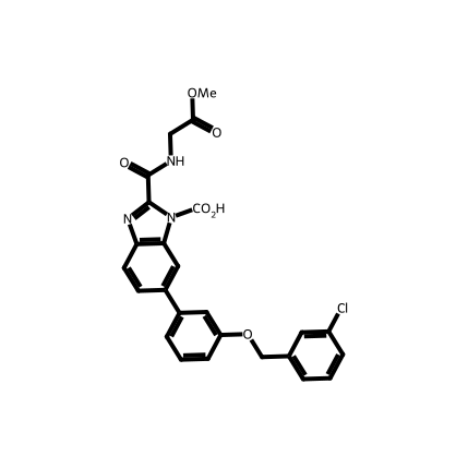 COC(=O)CNC(=O)c1nc2ccc(-c3cccc(OCc4cccc(Cl)c4)c3)cc2n1C(=O)O